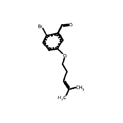 CC(C)=CCCOc1ccc(Br)c(C=O)c1